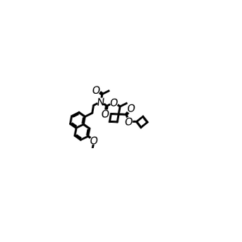 COc1ccc2cccc(CCN(C(C)=O)C(=O)OC(C)C3(C(=O)OC4CCC4)CCC3)c2c1